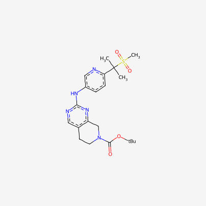 CC(C)(C)OC(=O)N1CCc2cnc(Nc3ccc(C(C)(C)S(C)(=O)=O)nc3)nc2C1